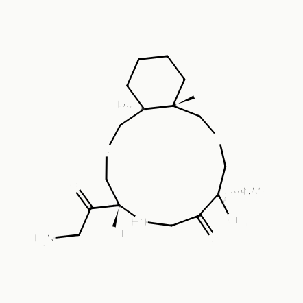 CN[C@@]1(C)CSC[C@H]2CCCC[C@@H]2CSC[C@@](C)(C(=O)CN)NCC1=O